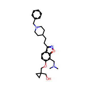 CN(C)Cc1c(OCC2(CO)CC2)ccc2c(CCC3CCN(Cc4ccccc4)CC3)noc12